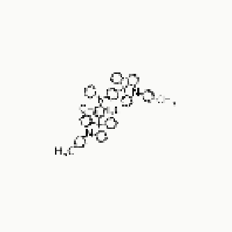 Cc1ccc(N2c3ccccc3C(c3ccccc3)(c3ccc(N(c4ccccc4)c4ccc(C5(c6ccccc6)c6ccccc6N(c6ccc(C)cc6)c6ccc(C)cc65)cc4)cc3)c3cc(C)ccc32)cc1